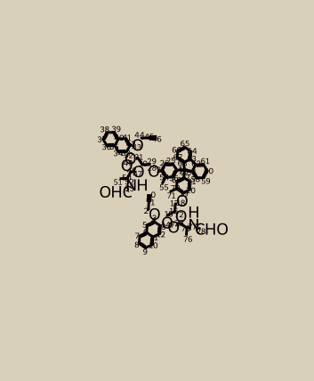 C#CCOc1cc2ccccc2cc1OCC(COc1ccc(C2(c3ccc(OCC(COc4cc5ccccc5cc4OCC#C)OC(=O)C(C)NC=O)c(C)c3)c3ccccc3-c3ccccc32)cc1C)OC(=O)C(C)NC=O